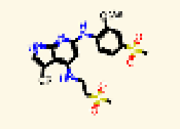 COc1cc(S(C)(=O)=O)ccc1Nc1cc(NCCS(C)(=O)=O)c2c(C#N)c[nH]c2n1